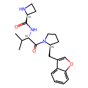 CC(C)[C@H](NC(=O)[C@@H]1CCN1)C(=O)N1CCC[C@H]1Cc1coc2ccccc12